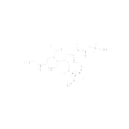 CC(C)(C)CNc1cc(C(F)F)c(-c2sc(C(=O)NCC(C)(C)O)nc2C(=O)N2[C@H]3CC[C@@H]2CC3)cn1